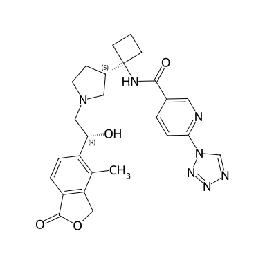 Cc1c([C@@H](O)CN2CC[C@H](C3(NC(=O)c4ccc(-n5cnnn5)nc4)CCC3)C2)ccc2c1COC2=O